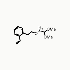 C=Cc1ccccc1CCO[SiH2]C(OC)OC